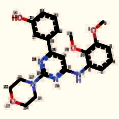 COc1cccc(Nc2cc(-c3cccc(O)c3)nc(N3CCOCC3)n2)c1OC